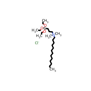 CCCCCCCCCCCCC[N+](C)(C)CCC[Si](OCC)(OCC)OCC.[Cl-]